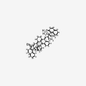 C=C(/C=C/C1=C(N(c2ccccc2)c2ccccc2)C(=C/C=C2/N(CC)c3ccc4ccccc4c3C2(C)C)/CCC1)C(C)(C)c1c(C)ccc2ccccc12